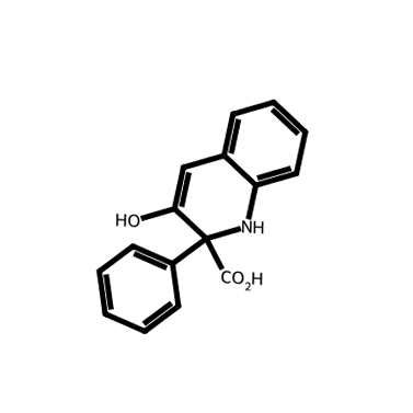 O=C(O)C1(c2ccccc2)Nc2ccccc2C=C1O